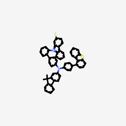 CC1(C)c2ccccc2-c2ccc(N(c3ccc(-c4ccccc4-n4c5ccccc5c5ccc(F)cc54)cc3)c3ccc(-c4cccc5sc6ccccc6c45)cc3)cc21